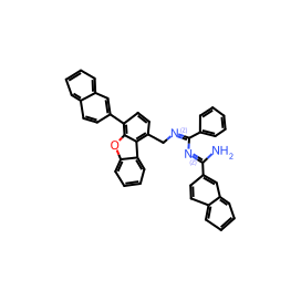 N/C(=N\C(=N/Cc1ccc(-c2ccc3ccccc3c2)c2oc3ccccc3c12)c1ccccc1)c1ccc2ccccc2c1